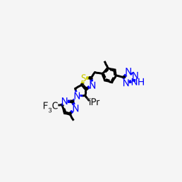 Cc1cc(C(F)(F)F)nc(N2Cc3sc(Cc4ccc(-c5nn[nH]n5)cc4C)nc3C2C(C)C)n1